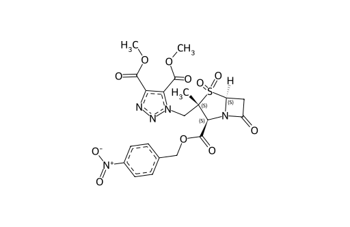 COC(=O)c1nnn(C[C@@]2(C)[C@H](C(=O)OCc3ccc([N+](=O)[O-])cc3)N3C(=O)C[C@@H]3S2(=O)=O)c1C(=O)OC